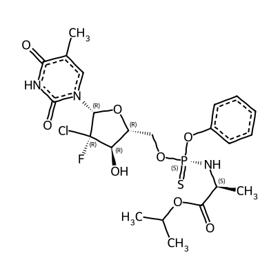 Cc1cn([C@@H]2O[C@H](CO[P@@](=S)(N[C@@H](C)C(=O)OC(C)C)Oc3ccccc3)[C@@H](O)[C@@]2(F)Cl)c(=O)[nH]c1=O